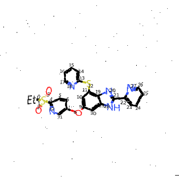 CCS(=O)(=O)c1ccc(Oc2cc(Sc3ccccn3)c3nc(-c4ccccn4)[nH]c3c2)cn1